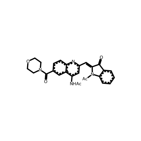 CC(=O)Nc1cc(/C=C2/C(=O)c3ccccc3N2C(C)=O)nc2ccc(C(=O)N3CCOCC3)cc12